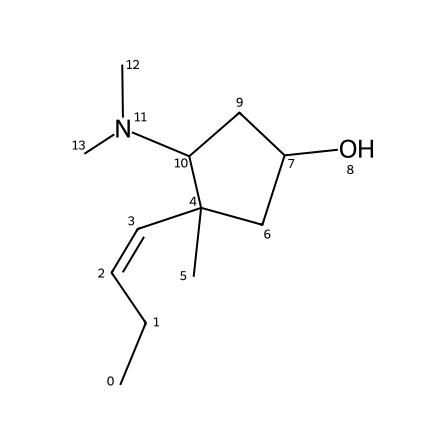 CC/C=C\C1(C)CC(O)CC1N(C)C